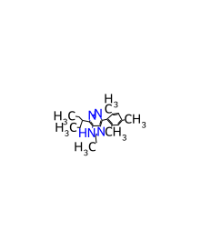 CCc1nc2c(-c3c(C)cc(C)cc3C)nnc(C(CC)CC)c2[nH]1